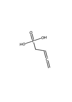 C=C=CCP(=O)(O)O